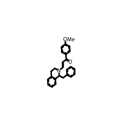 COc1ccc(C(=O)C=CN2CCc3ccccc3C2Cc2ccccc2)cc1